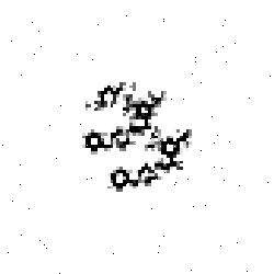 O=C(O)/C=C\C(=O)O.O=c1cc(N2CCN(CC3CCCCC3)CC2)sc2c([N+](=O)[O-])cc(C(F)(F)F)cc12.O=c1cc(N2CCN(CC3CCCCC3)CC2)sc2c([N+](=O)[O-])cc(C(F)(F)F)cc12